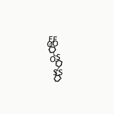 FC1(F)Oc2ccc(C3Oc4cc(C5Sc6ccccc6S5)ccc4S3)cc2O1